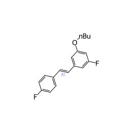 CCCCOc1cc(F)cc(/C=C/c2ccc(F)cc2)c1